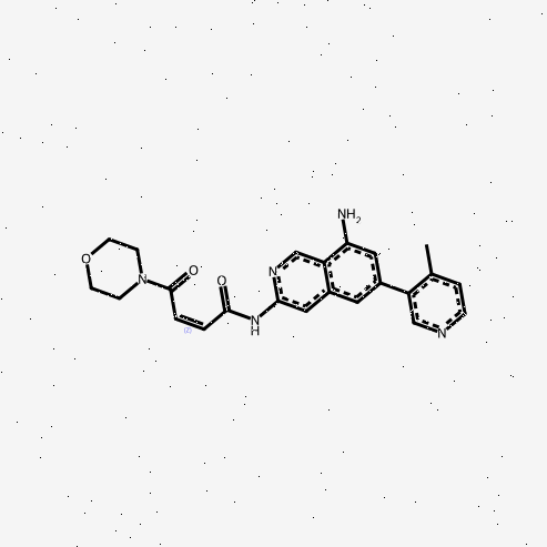 Cc1ccncc1-c1cc(N)c2cnc(NC(=O)/C=C\C(=O)N3CCOCC3)cc2c1